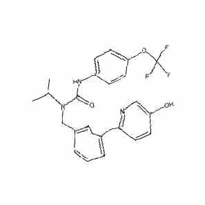 CC(C)N(Cc1cccc(-c2ccc(O)cn2)c1)C(=O)Nc1ccc(OC(F)(F)F)cc1